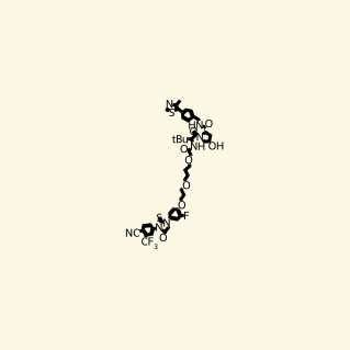 Cc1ncsc1-c1ccc(CNC(=O)[C@@H]2C[C@@H](O)CN2C(=O)C(NC(=O)COCCCCOCCCOc2ccc(N3CC(=O)N(c4ccc(C#N)c(C(F)(F)F)c4)C3=S)cc2F)C(C)(C)C)cc1